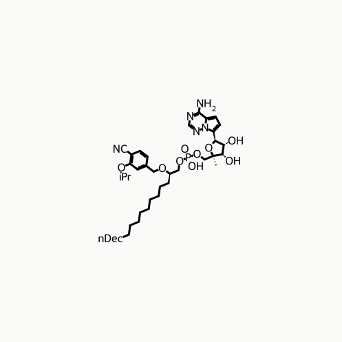 CCCCCCCCCCCCCCCCCCC[C@H](COP(=O)(O)OC[C@@]1(C)O[C@@H](c2ccc3c(N)ncnn23)[C@H](O)[C@@H]1O)OCc1ccc(C#N)c(OC(C)C)c1